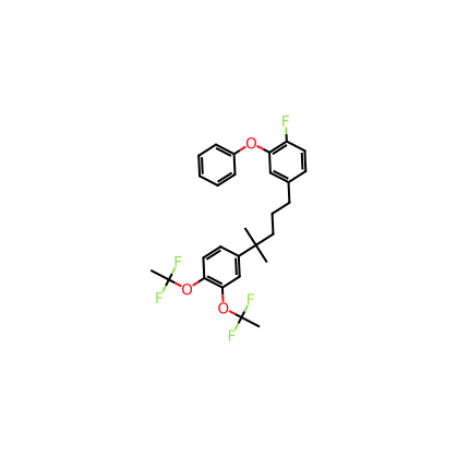 CC(F)(F)Oc1ccc(C(C)(C)CCCc2ccc(F)c(Oc3ccccc3)c2)cc1OC(C)(F)F